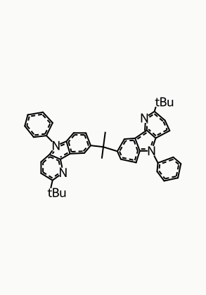 CC(C)(C)c1ccc2c(n1)c1cc(C(C)(C)c3ccc4c(c3)c3nc(C(C)(C)C)ccc3n4-c3ccccc3)ccc1n2-c1ccccc1